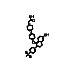 CS(=O)(=O)c1ccc(-c2ccc3cc(O)ccc3c2Oc2ccc(N3CCN(CC(=O)O)CC3)cc2)cc1